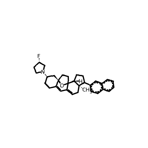 C[C@]12CC=C3C=C4CC[C@H](N5CC[C@H](F)C5)C[C@]45CCC3(O5)[C@@H]1CCC2c1ccc2ccccc2c1